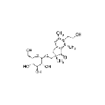 Cc1cc2c(c(C)c1CCO)C(=O)[C@](C)(CO[C@@H]1O[C@H](CO)[C@@H](O)[C@H](O)[C@H]1O)C2